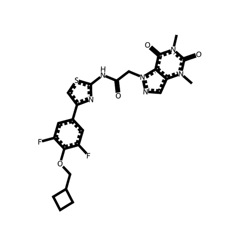 Cn1c(=O)c2c(cnn2CC(=O)Nc2nc(-c3cc(F)c(OCC4CCC4)c(F)c3)cs2)n(C)c1=O